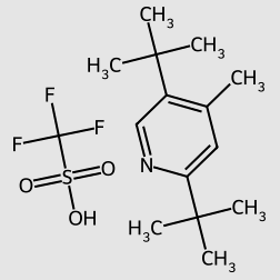 Cc1cc(C(C)(C)C)ncc1C(C)(C)C.O=S(=O)(O)C(F)(F)F